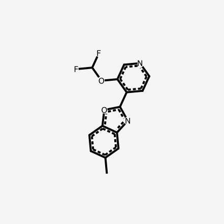 Cc1ccc2oc(-c3ccncc3OC(F)F)nc2c1